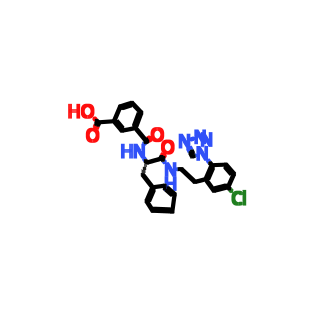 O=C(O)c1cccc(C(=O)N[C@@H](Cc2ccccc2)C(=O)NCCc2cc(Cl)ccc2-n2cnnn2)c1